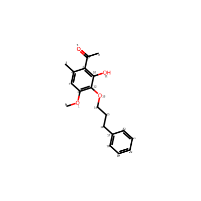 COc1cc(C)c(C(C)=O)c(O)c1OCCCc1ccccc1